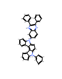 c1ccc(-c2nc3ccc(-n4c5ccccc5c5c6c7ccccc7n(-c7ccccc7)c6ccc54)cc3nc2-c2ccccc2)cc1